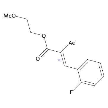 COCCOC(=O)/C(=C/c1ccccc1F)C(C)=O